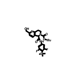 CC(C)(C)OC(=O)N1CCc2nc(CO)ccc2C1C(=O)Nc1cc(F)c([Si](C)(C)C)c(F)c1